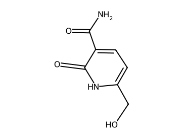 NC(=O)c1ccc(CO)[nH]c1=O